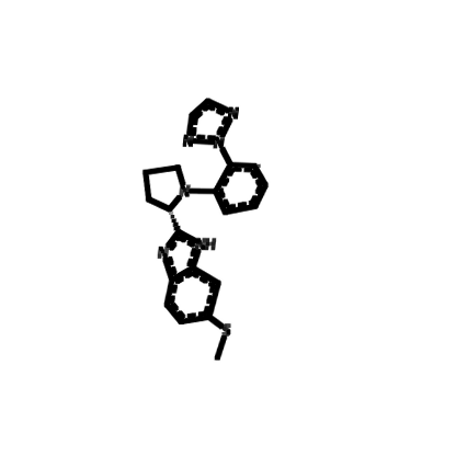 CSc1ccc2nc([C@@H]3CCCN3c3ccc[c]c3-n3nccn3)[nH]c2c1